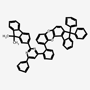 CC1(C)c2ccccc2-c2ccc(-c3nc(-c4ccccc4)cc(-c4ccccc4-c4cccc5c4Oc4c(ccc6c4-c4ccccc4C6(c4ccccc4)c4ccccc4)O5)n3)cc21